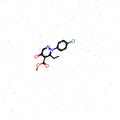 CCc1c(C(=O)OC)c(=O)cnn1-c1ccc(Cl)cc1